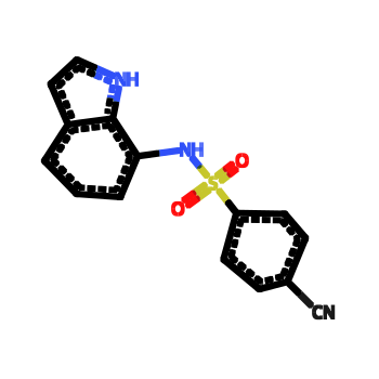 N#Cc1ccc(S(=O)(=O)Nc2cccc3cc[nH]c23)cc1